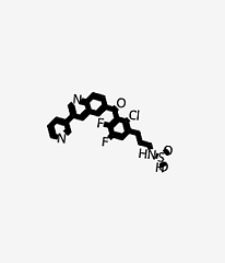 O=C(c1ccc2ncc(-c3cccnc3)cc2c1)c1c(F)c(F)cc(CCCN[SH](=O)=O)c1Cl